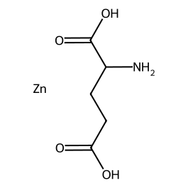 NC(CCC(=O)O)C(=O)O.[Zn]